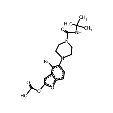 CC(C)(C)NC(=O)N1CCN(c2ccc3oc(OC(=O)O)cc3c2Br)CC1